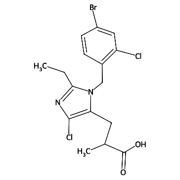 CCc1nc(Cl)c(CC(C)C(=O)O)n1Cc1ccc(Br)cc1Cl